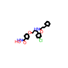 O=C(/C=C/c1ccccc1)NC(CCOc1ccc(C(=O)NO)cc1)c1ccc(Cl)cc1